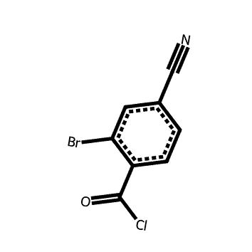 N#Cc1ccc(C(=O)Cl)c(Br)c1